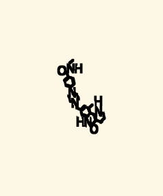 CCNC(=O)c1ccc(N2CCN(Cc3cc(C)c4c5c(c(=O)[nH]c4c3)CCCN5)CC2)cc1